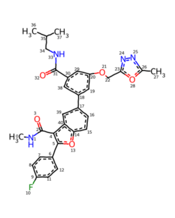 CNC(=O)c1c(-c2ccc(F)cc2)oc2ccc(-c3cc(OCc4nnc(C)o4)cc(C(=O)NCC(C)C)c3)cc12